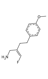 COc1ccc(CCC(=CF)CN)cc1